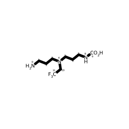 NCCCN(CCCNC(=O)O)CC(F)(F)F